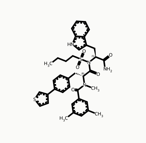 CCCCS(=O)(=O)N(C(=O)[C@@H](Cc1ccc(-c2ccsc2)cc1)N(C)C(=O)c1cc(C)cc(C)c1)[C@@H](Cc1c[nH]c2ccccc12)C(N)=O